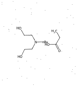 CCC(=O)O.CCCCN(CCO)CCO